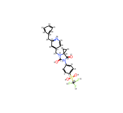 O=C1N(c2ccc(S(=O)(=O)C(F)(F)F)cc2)C(=O)C2(CC2)N1Cc1ccnc(Cc2ccccc2)c1